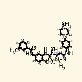 C=N/C(=C\C(=N/C)Nc1ccc(N2CCN(C)CC2)cc1)N(C)C(=O)Nc1cc(NC(=O)c2cccc(C(F)(F)F)c2)ccc1Cl